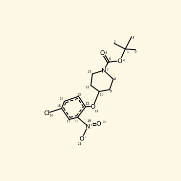 CC(C)(C)OC(=O)N1CCC(Oc2ccc(Cl)cc2[N+](=O)[O-])CC1